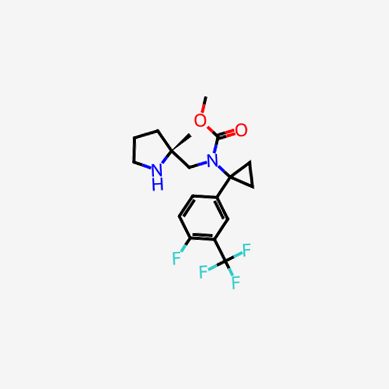 COC(=O)N(C[C@@]1(C)CCCN1)C1(c2ccc(F)c(C(F)(F)F)c2)CC1